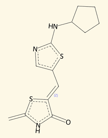 C=c1[nH]c(=O)/c(=C/c2cnc(NC3CCCC3)s2)s1